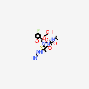 COc1ccc(F)cc1C(Cn1c(=O)n(C(C)(C)C(=O)NC(C)C)c(=O)c2c(C)c(N/N=C\C=N)sc21)OCCO